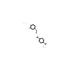 CCN(CC)C(=O)c1ccc(C(=O)NCCc2ccc(OC)c(Br)c2)cc1